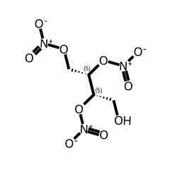 O=[N+]([O-])OC[C@H](O[N+](=O)[O-])[C@H](CO)O[N+](=O)[O-]